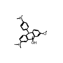 COc1ccc(C(c2ccc(N(C)C)cc2)c2ccc(N(C)C)cc2C(=O)O)cc1